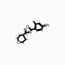 Cc1cc(C(C)C)ccc1-c1nc(C2CCOCC2)no1